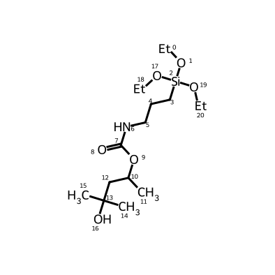 CCO[Si](CCCNC(=O)OC(C)CC(C)(C)O)(OCC)OCC